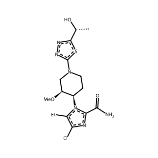 CCc1c(Cl)nc(C(N)=O)n1[C@@H]1CCN(c2nnc([C@@H](C)O)s2)C[C@@H]1OC